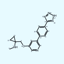 CNC1(COc2cncc(-c3ccc(-c4nn[nH]n4)cc3)c2)CC1